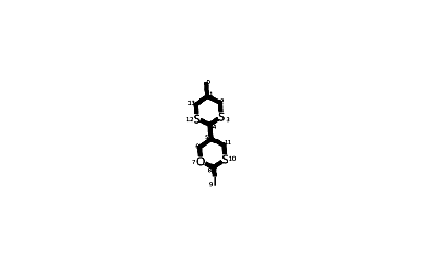 CC1CSC(C2COC(I)SC2)SC1